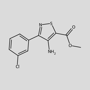 COC(=O)c1snc(-c2cccc(Cl)c2)c1N